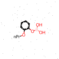 CCCOc1ccccc1OB(O)O